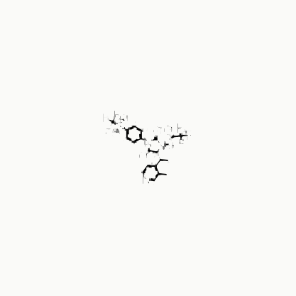 Cc1cnccc1C(C)[C@H]1C(=O)N(c2ccc(S(=O)(=O)C(F)(F)F)cc2)C(=O)N1OC(=O)C(F)(F)F